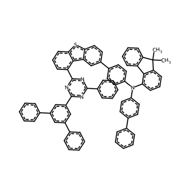 CC1(C)c2ccccc2-c2c(N(c3ccc(-c4ccccc4)cc3)c3ccc(-c4ccc5sc6cccc(-c7nc(-c8ccccc8)nc(-c8cc(-c9ccccc9)cc(-c9ccccc9)c8)n7)c6c5c4)cc3)cccc21